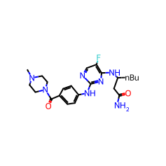 CCCCC(CC(N)=O)Nc1nc(Nc2ccc(C(=O)N3CCN(C)CC3)cc2)ncc1F